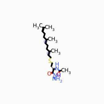 CC(=O)N[C@@H](CCSC/C=C(\C)CC/C=C(\C)CCC=C(C)C)C(=O)NN